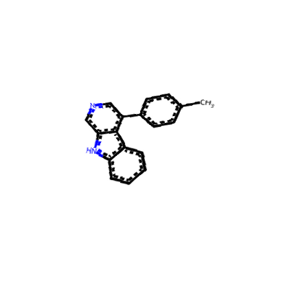 Cc1ccc(-c2cncc3[nH]c4ccccc4c23)cc1